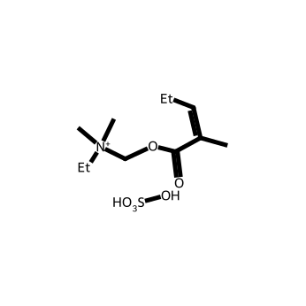 CCC=C(C)C(=O)OC[N+](C)(C)CC.O=S(=O)(O)O